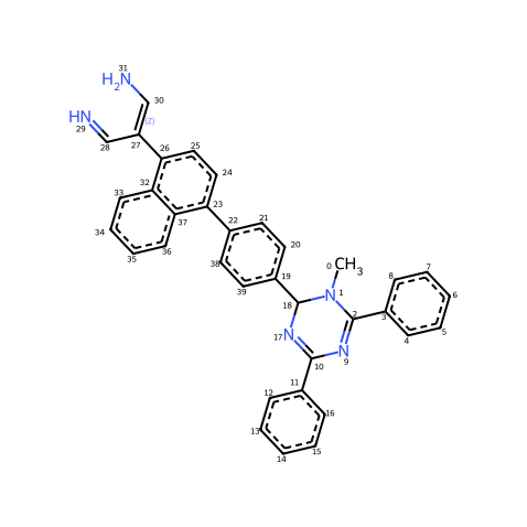 CN1C(c2ccccc2)=NC(c2ccccc2)=NC1c1ccc(-c2ccc(/C(C=N)=C/N)c3ccccc23)cc1